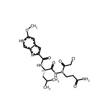 COc1cc2cc(C(=O)N[C@@H](CC(C)C)C(=O)NN(CCC(N)=O)C(=O)CCl)nc-2c[nH]1